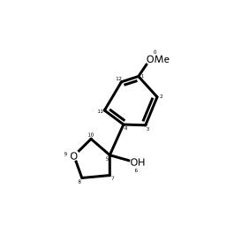 COc1ccc(C2(O)CCOC2)cc1